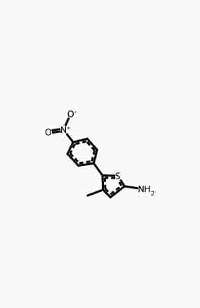 Cc1cc(N)sc1-c1ccc([N+](=O)[O-])cc1